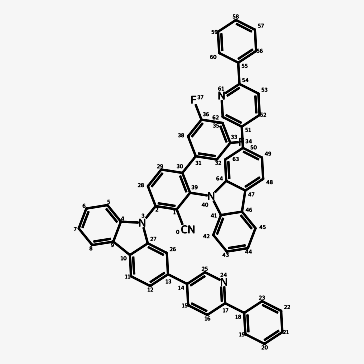 N#Cc1c(-n2c3ccccc3c3ccc(-c4ccc(-c5ccccc5)nc4)cc32)ccc(-c2cc(F)cc(F)c2)c1-n1c2ccccc2c2ccc(-c3ccc(-c4ccccc4)nc3)cc21